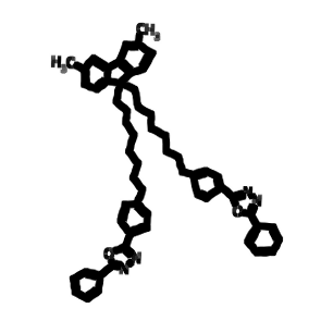 Cc1ccc2c(c1)-c1cc(C)ccc1C2(CCCCCCCCc1ccc(-c2nnc(-c3ccccc3)o2)cc1)CCCCCCCCc1ccc(-c2nnc(-c3ccccc3)o2)cc1